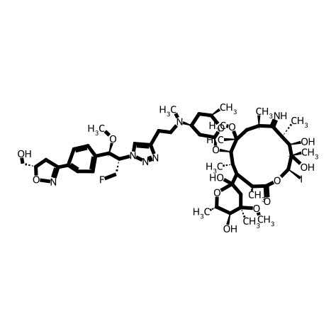 CO[C@H](c1ccc(C2=NO[C@H](CO)C2)cc1)[C@@H](CF)n1cc(CCN(C)[C@@H]2C[C@H](O[C@@H]3[C@@H](C)C(C4(O)C[C@@](C)(OC)[C@@H](O)[C@H](C)O4)[C@@H](C)C(=O)O[C@H](I)[C@@](C)(O)[C@H](O)[C@@H](C)C(=N)[C@H](C)C[C@@]3(C)OC)O[C@H](C)C2)nn1